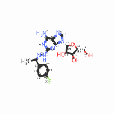 CC(=NNc1nc(N)c2ncn([C@@H]3O[C@H](CO)C(O)C3O)c2n1)c1ccc(F)cc1